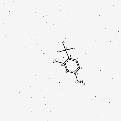 [CH2]C(C)(C)c1ccc(N)cc1Cl